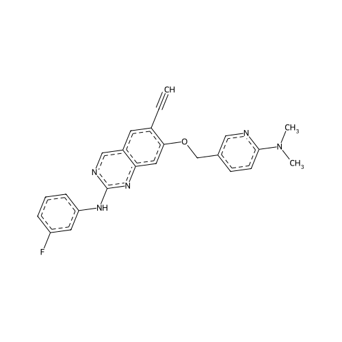 C#Cc1cc2cnc(Nc3cccc(F)c3)nc2cc1OCc1ccc(N(C)C)nc1